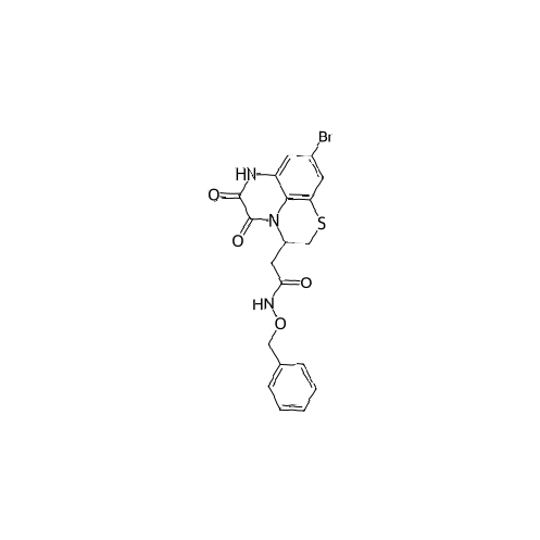 O=C(CC1CSc2cc(Br)cc3[nH]c(=O)c(=O)n1c23)NOCc1ccccc1